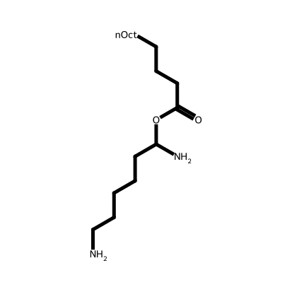 CCCCCCCCCCCC(=O)OC(N)CCCCCN